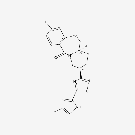 Cc1c[nH]c(-c2nc([C@@H]3CC[C@@H]4CSc5cc(F)ccc5C(=O)N4C3)no2)c1